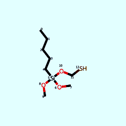 CCCCC[Si](OC)(OC)OCS